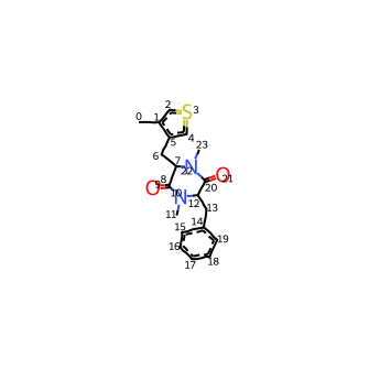 Cc1cscc1CC1C(=O)N(C)C(Cc2ccccc2)C(=O)N1C